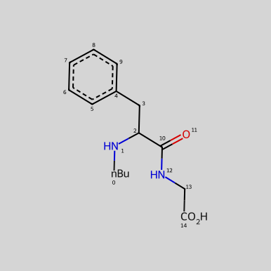 CCCCNC(Cc1ccccc1)C(=O)NCC(=O)O